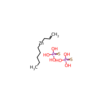 C=C[CH2][Zn][CH2]CCCC.OP(O)(O)=S.OP(O)(O)=S